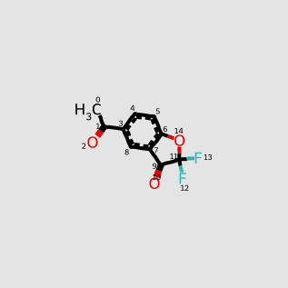 CC(=O)c1ccc2c(c1)C(=O)C(F)(F)O2